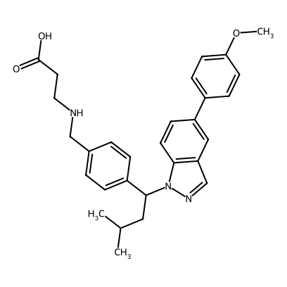 COc1ccc(-c2ccc3c(cnn3C(CC(C)C)c3ccc(CNCCC(=O)O)cc3)c2)cc1